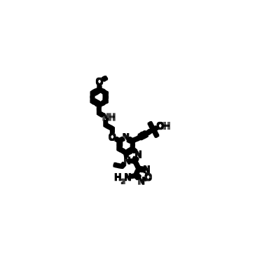 CCn1c(-c2nonc2N)nc2c(C#CC(C)(C)O)nc(OCCNCc3ccc(OC)cc3)cc21